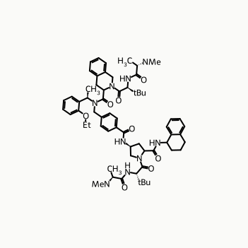 CCOc1ccccc1[C@@H](C)N(Cc1ccc(C(=O)N[C@H]2CC(C(=O)NC3CCCc4ccccc43)N(C(=O)[C@@H](NC(=O)[C@H](C)NC)C(C)(C)C)C2)cc1)C(=O)C1Cc2ccccc2CN1C(=O)[C@@H](NC(=O)[C@H](C)NC)C(C)(C)C